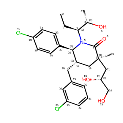 CC[C@@H]([C@H](C)O)N1C(=O)[C@@](C)(C[C@@H](O)CO)C[C@H](Cc2cccc(Cl)c2)[C@H]1c1ccc(Cl)cc1